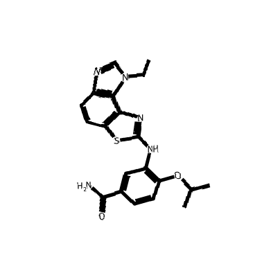 CCn1cnc2ccc3sc(Nc4cc(C(N)=O)ccc4OC(C)C)nc3c21